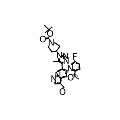 Cc1c(-c2cc(O[C@H](C)c3ccc(F)cn3)c3c(C=O)cnn3c2)nnn1C1CCN(C(=O)OC(C)(C)C)CC1